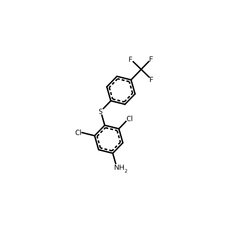 Nc1cc(Cl)c(Sc2ccc(C(F)(F)F)cc2)c(Cl)c1